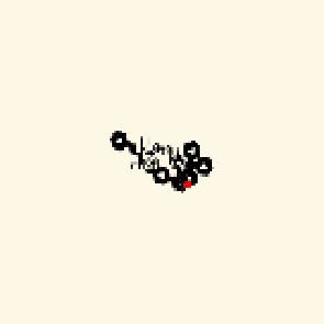 CC(C)(C)OC(=O)N[C@H](CCc1ccccc1)C(=O)NCc1ccc(-c2ccccc2-c2nnnn2C(c2ccccc2)(c2ccccc2)c2ccccc2)cc1